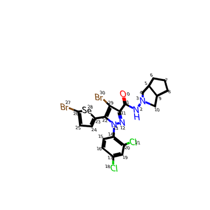 O=C(NN1CC2CCCC2C1)c1nn(-c2ccc(Cl)cc2Cl)c(-c2ccc(Br)[se]2)c1Br